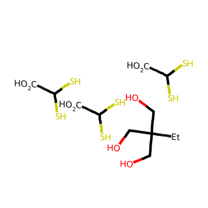 CCC(CO)(CO)CO.O=C(O)C(S)S.O=C(O)C(S)S.O=C(O)C(S)S